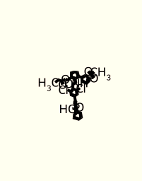 CCC(=O)OCc1cccc(-c2cccc(S(C)(=O)=O)c2)c1NC(=O)c1c(Cl)cc(C#CP(=O)(O)c2ccccc2)cc1Cl